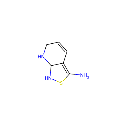 NC1=C2C=CCNC2NS1